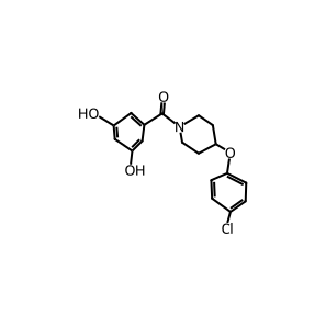 O=C(c1cc(O)cc(O)c1)N1CCC(Oc2ccc(Cl)cc2)CC1